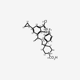 CC(OCC1(c2ccc(F)cc2)CCN(C(=O)O)CC1)c1cc(C2CC2)cc2c(Cl)n[nH]c12